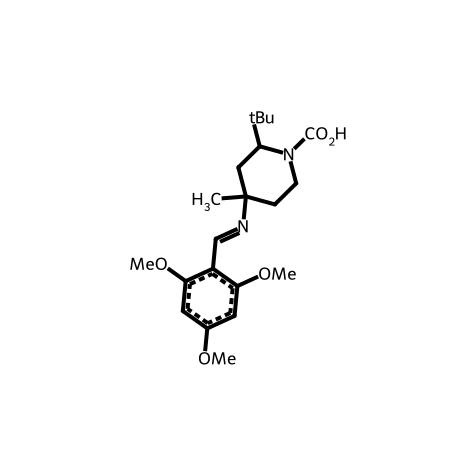 COc1cc(OC)c(C=NC2(C)CCN(C(=O)O)C(C(C)(C)C)C2)c(OC)c1